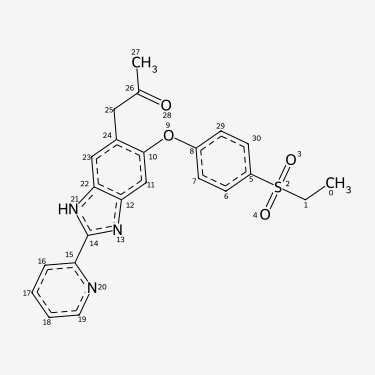 CCS(=O)(=O)c1ccc(Oc2cc3nc(-c4ccccn4)[nH]c3cc2CC(C)=O)cc1